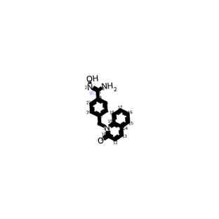 N/C(=N\O)c1ccc(Cn2c(=O)ccc3ccccc32)cc1